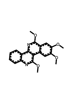 COc1cc2c(OC)nc3c4ccccc4nc(OC)c3c2cc1OC